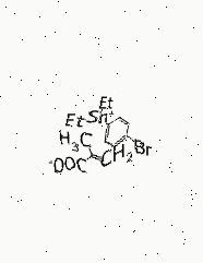 C=C(C)C(=O)[O-].C[CH2][Sn+]([CH2]C)[c]1ccc(Br)cc1